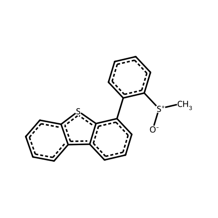 C[S+]([O-])c1ccccc1-c1cccc2c1sc1ccccc12